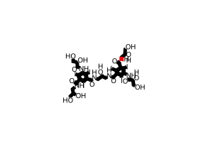 O=C(NCC(O)CO)c1c(I)c(NC(=O)C(O)CO)c(I)c(C(=O)NCC(O)CNC(=O)c2c(I)c(NC(=O)C(O)CO)c(I)c(C(=O)NCC(O)CO)c2I)c1I